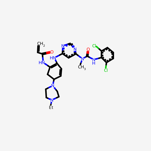 C=CC(=O)NC1=C(Nc2cc(N(C)C(=O)Nc3c(Cl)cccc3Cl)ncn2)C=CC(N2CCN(CC)CC2)C1